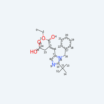 CCOC(=O)/C(=C/c1cnc(C(C)(C)C)n1Cc1ccccc1)CC(=O)O